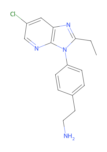 CCc1nc2cc(Cl)cnc2n1-c1ccc(CCN)cc1